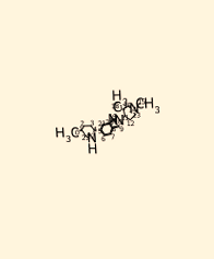 C[C@H]1CC[C@H](c2ccc3cn(C4CCN(C)C[C@H]4C)nc3c2)NC1